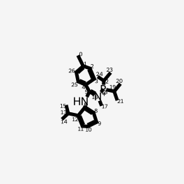 Cc1ccc(C(Nc2ccccc2C(C)C)=[N+](C)P(C(C)C)C(C)C)cc1